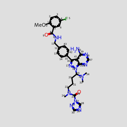 COc1ccc(F)cc1C(=O)NCc1ccc(-c2nn(C(CCCN(C)C(=O)n3cncn3)N(C)C)c3ncnc(N)c23)cc1